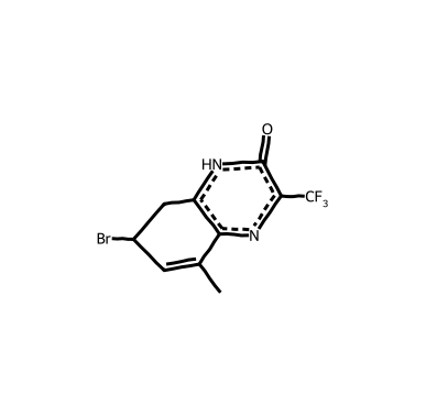 CC1=CC(Br)Cc2[nH]c(=O)c(C(F)(F)F)nc21